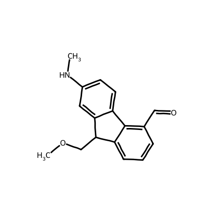 CNc1ccc2c(c1)C(COC)c1cccc(C=O)c1-2